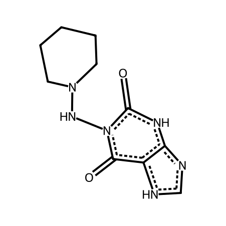 O=c1[nH]c2nc[nH]c2c(=O)n1NN1CCCCC1